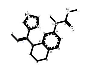 C/C=C(\c1c[nH]cn1)C1CCCc2ccc(N(C)C(=O)OC)cc21